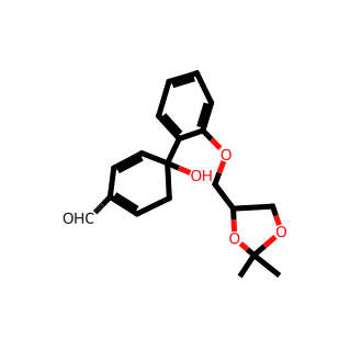 CC1(C)OCC(COc2ccccc2C2(O)C=CC(C=O)=CC2)O1